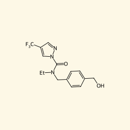 CCN(Cc1ccc(CO)cc1)C(=O)n1cc(C(F)(F)F)cn1